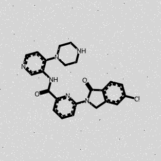 O=C(Nc1cnccc1N1CCNCC1)c1cccc(N2Cc3cc(Cl)ccc3C2=O)n1